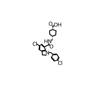 O=C(NC[C@H]1CC[C@H](C(=O)O)CC1)c1cc(Cl)cc2c1N(Cc1ccc(Cl)cc1)CC2